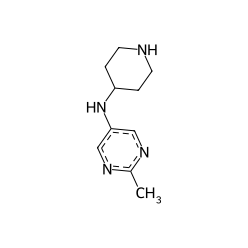 Cc1ncc(NC2CCNCC2)cn1